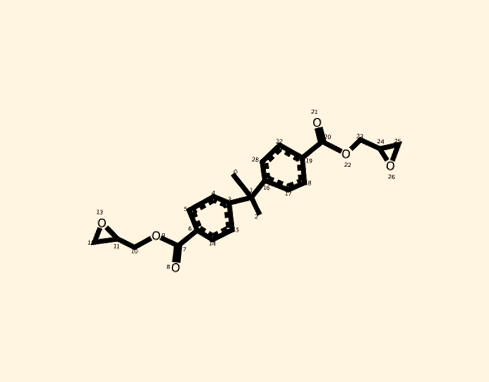 CC(C)(c1ccc(C(=O)OCC2CO2)cc1)c1ccc(C(=O)OCC2CO2)cc1